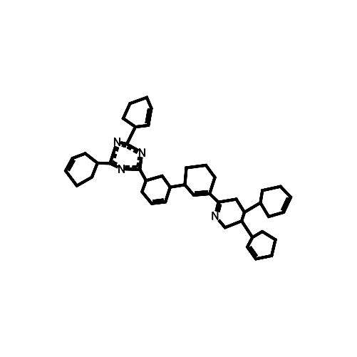 C1=CC(c2nc(C3CC=CCC3)nc(C3CC=CC(C4C=C(C5=NCC(C6C=CCCC6)C(C6CC=CCC6)C5)CCC4)C3)n2)CCC1